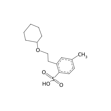 Cc1ccc(S(=O)(=O)O)c(CCOC2CCCCC2)c1